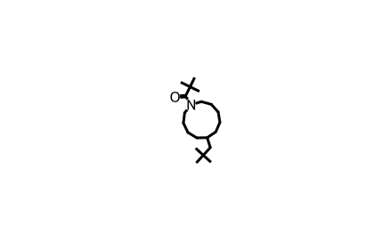 CC(C)(C)CC1CCCCCN(C(=O)C(C)(C)C)CCCC1